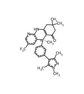 Cc1nn(C)c(C)c1-c1cccc([C@]2(C)C3=C(CC(C)(C)CC3=O)Nc3ncc(C(F)(F)F)cc32)c1